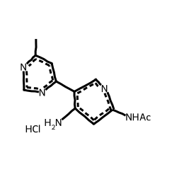 CC(=O)Nc1cc(N)c(-c2cc(C)ncn2)cn1.Cl